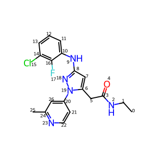 CCNC(=O)Cc1cc(Nc2cccc(Cl)c2F)nn1-c1ccnc(C)c1